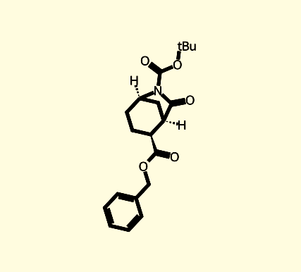 CC(C)(C)OC(=O)N1C(=O)[C@@H]2C[C@H]1CC[C@@H]2C(=O)OCc1ccccc1